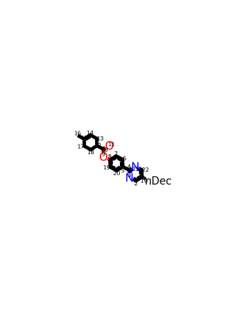 CCCCCCCCCCc1cnc(-c2ccc(OC(=O)C3CC=C(C)CC3)cc2)nc1